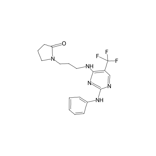 O=C1CCCN1CCCNc1nc(Nc2ccccc2)ncc1C(F)(F)F